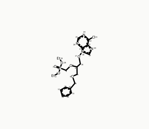 CCOP(=O)(COC(COCc1ccccc1)COn1cnc2c(Cl)ncnc21)OCC